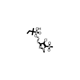 CCC(C)(C)P(=O)(O)OSSc1nn(C)c(S(C)(=O)=O)c1Cl